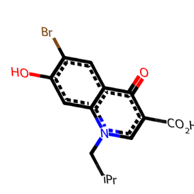 CC(C)Cn1cc(C(=O)O)c(=O)c2cc(Br)c(O)cc21